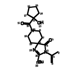 C=C(C)N1C(=O)C2(CCN(C(=O)C3(O)CCCC3)CC2)N=C1CCCC